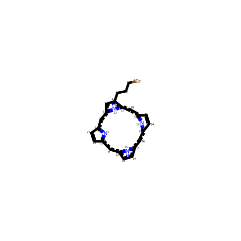 BrCCCc1cc2cc3nc(cc4ccc(cc5nc(cc1[nH]2)C=C5)[nH]4)C=C3